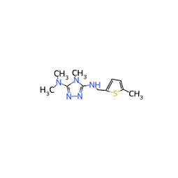 Cc1ccc(CNc2nnc(N(C)C)n2C)s1